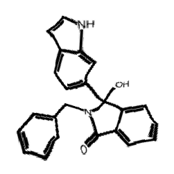 O=C1c2ccccc2C(O)(c2ccc3cc[nH]c3c2)N1Cc1ccccc1